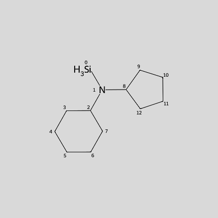 [SiH3]N(C1CCCCC1)C1CCCC1